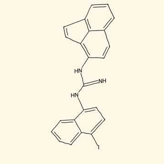 N=C(Nc1ccc2cccc3c2c1C=C3)Nc1ccc(I)c2ccccc12